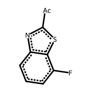 CC(=O)c1nc2cccc(F)c2s1